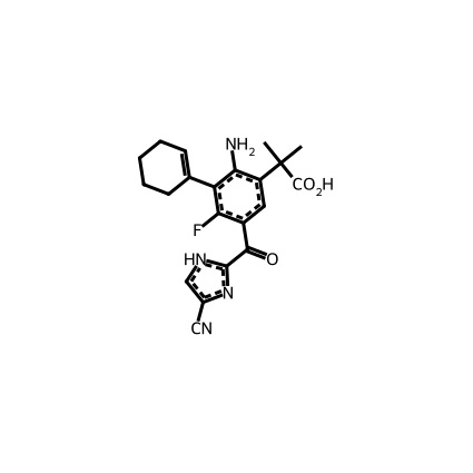 CC(C)(C(=O)O)c1cc(C(=O)c2nc(C#N)c[nH]2)c(F)c(C2=CCCCC2)c1N